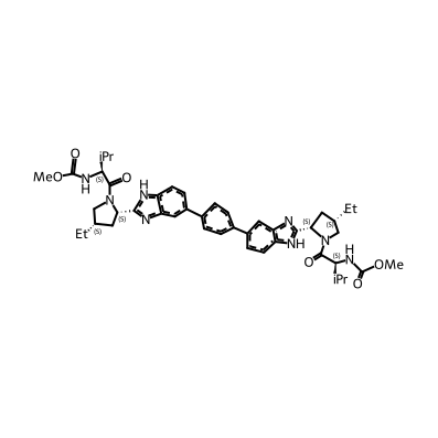 CC[C@H]1C[C@@H](c2nc3cc(-c4ccc(-c5ccc6[nH]c([C@@H]7C[C@H](CC)CN7C(=O)[C@@H](NC(=O)OC)C(C)C)nc6c5)cc4)ccc3[nH]2)N(C(=O)[C@@H](NC(=O)OC)C(C)C)C1